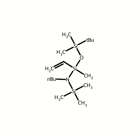 C=C[Si](C)(O[Si](C)(C)C(C)(C)C)N(CCCC)[Si](C)(C)C